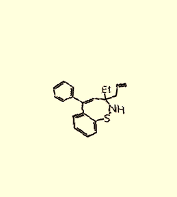 C=CCC1(CC)C=C(c2ccccc2)c2ccccc2SN1